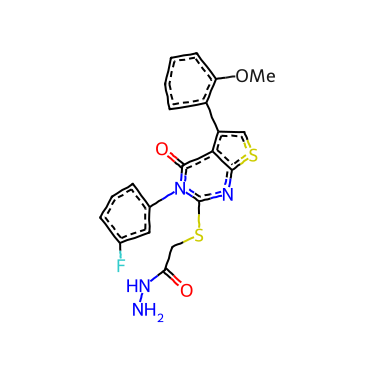 COc1ccccc1-c1csc2nc(SCC(=O)NN)n(-c3cccc(F)c3)c(=O)c12